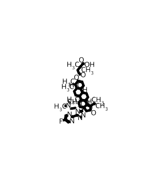 CC(C)C1=C2[C@H]3CC[C@@H]4[C@@]5(C)CC[C@H](OC(=O)CC(C)(C)C(=O)O)C(C)(C)C5CC[C@@]4(C)[C@]3(C)CC[C@@]2(c2nnc(-c3ncc(F)cn3)n2CCN(C)C)CC1=O